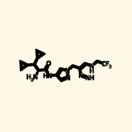 N=N/C(=C\NCC(F)(F)F)Cn1cc(NC(=O)[C@@H](N)C(C2CC2)C2CC2)cn1